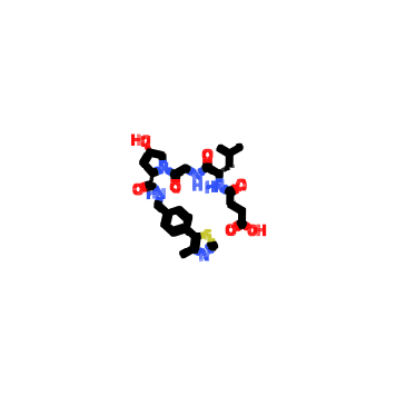 Cc1ncsc1-c1ccc(CNC(=O)[C@@H]2C[C@@H](O)CN2C(=O)CNC(=O)[C@H](CC(C)C)NC(=O)CCC(=O)O)cc1